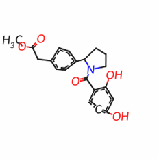 COC(=O)Cc1ccc(C2CCCN2C(=O)c2ccc(O)cc2O)cc1